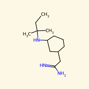 CCC(C)(C)NC1CCCC(CC(=N)N)C1